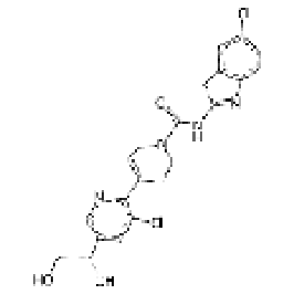 O=C(NC1=Nc2ccc(Cl)cc2C1)N1CC=C(c2ncc([C@H](O)CO)cc2Cl)CC1